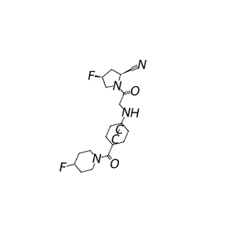 N#C[C@@H]1C[C@H](F)CN1C(=O)CNC12CCC(C(=O)N3CCC(F)CC3)(CC1)CC2